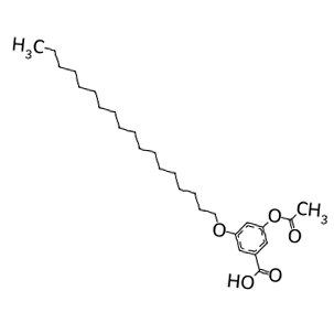 CCCCCCCCCCCCCCCCCCOc1cc(OC(C)=O)cc(C(=O)O)c1